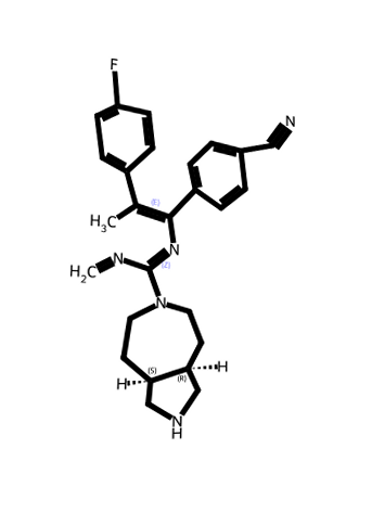 C=N/C(=N\C(=C(/C)c1ccc(F)cc1)c1ccc(C#N)cc1)N1CC[C@@H]2CNC[C@@H]2CC1